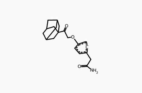 NC(=O)Cc1ccc(OCC(=O)C23CC4CC(CC(C4)C2)C3)cc1